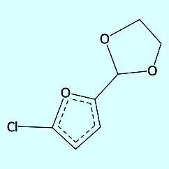 Clc1ccc(C2OCCO2)o1